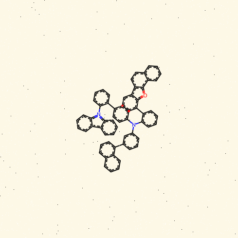 c1cc(-c2cccc3ccccc23)cc(N(c2ccc(-c3ccccc3-n3c4ccccc4c4ccccc43)cc2)c2ccccc2-c2cccc3c2oc2c4ccccc4ccc32)c1